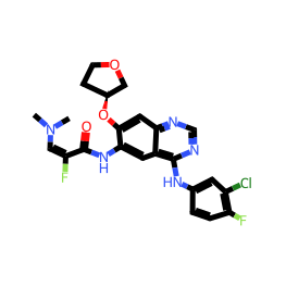 CN(C)/C=C(/F)C(=O)Nc1cc2c(Nc3ccc(F)c(Cl)c3)ncnc2cc1O[C@H]1CCOC1